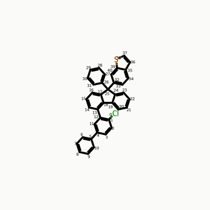 Clc1ccc(-c2ccccc2)cc1-c1cccc2c1-c1ccccc1C2(c1ccccc1)c1ccc2ccsc2c1